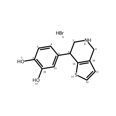 Br.Oc1ccc(C2CNCc3ccsc32)cc1O